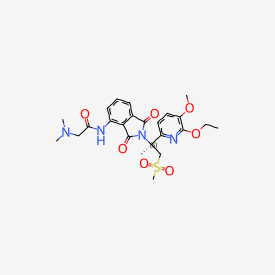 CCOc1nc([C@@](C)(CS(C)(=O)=O)N2C(=O)c3cccc(NC(=O)CN(C)C)c3C2=O)ccc1OC